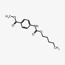 CCCCCOC(=O)Nc1ccc(C(=O)OC)cc1